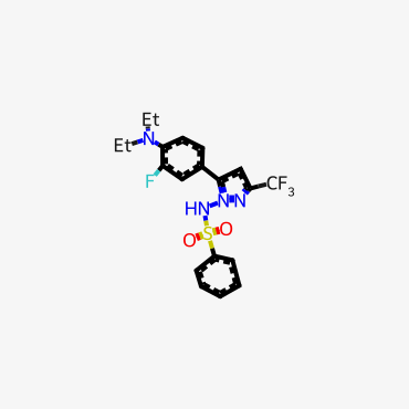 CCN(CC)c1ccc(-c2cc(C(F)(F)F)nn2NS(=O)(=O)c2ccccc2)cc1F